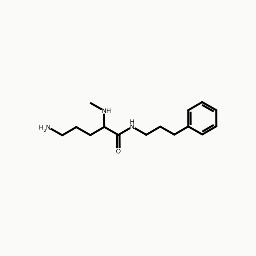 CNC(CCCN)C(=O)NCCCc1ccccc1